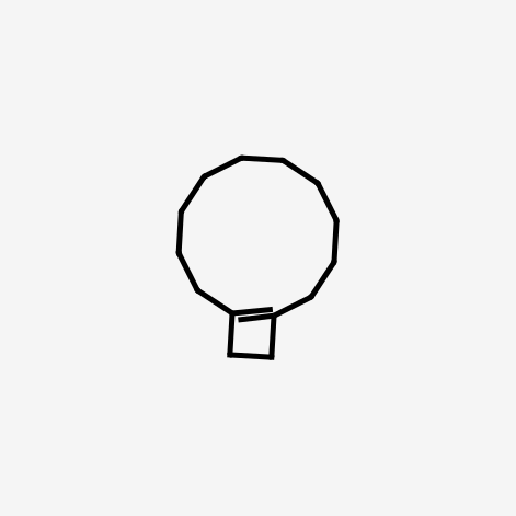 C1CCCCCC2=C(CCCC1)CC2